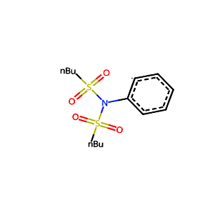 CCCCS(=O)(=O)N(c1[c]cccc1)S(=O)(=O)CCCC